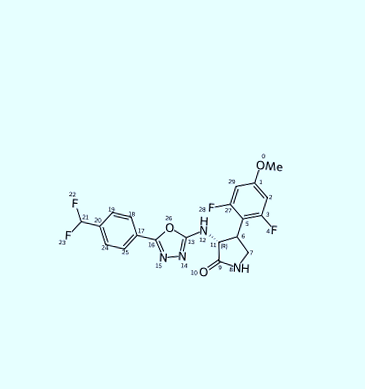 COc1cc(F)c(C2CNC(=O)[C@@H]2Nc2nnc(-c3ccc(C(F)F)cc3)o2)c(F)c1